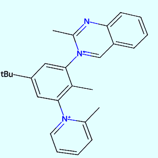 Cc1c(-[n+]2ccccc2C)cc(C(C)(C)C)cc1-[n+]1cc2ccccc2nc1C